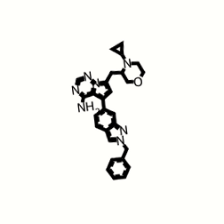 Nc1ncnn2c(CC3COCCN3C3CC3)cc(-c3ccc4cn(Cc5ccccc5)nc4c3)c12